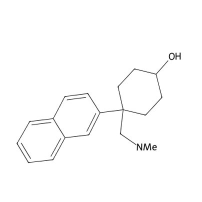 CNCC1(c2ccc3ccccc3c2)CCC(O)CC1